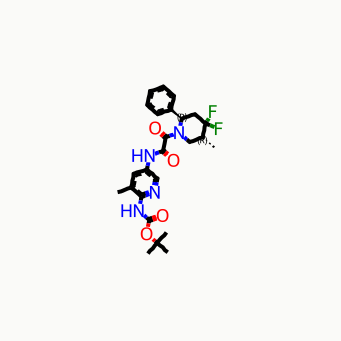 Cc1cc(NC(=O)C(=O)N2C[C@@H](C)C(F)(F)C[C@@H]2c2ccccc2)cnc1NC(=O)OC(C)(C)C